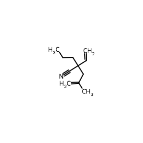 C=CC(C#N)(CCC)CC(=C)C